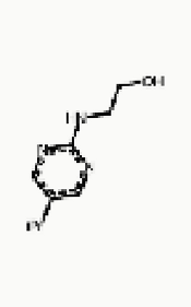 CC(C)c1cnc(NCCO)nc1